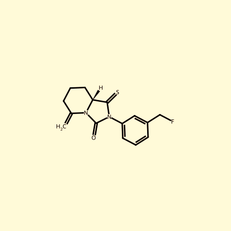 C=C1CCC[C@@H]2C(=S)N(c3cccc(CF)c3)C(=O)N12